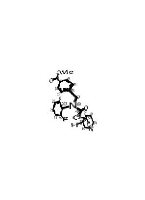 COC(=O)c1ccc(CN(C(=O)O[C@H]2CN3CCC2CC3)c2ccccc2F)cc1